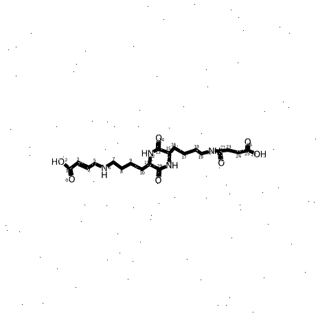 O=C(O)/C=C/CNCCCCC1NC(=O)C(CCCCNC(=O)CCC(=O)O)NC1=O